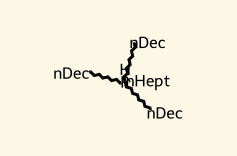 CCCCCCCCCCCCCCCCCC[PH](CCCCCCC)(CCCCCCCCCCCCCCCCCC)CCCCCCCCCCCCCCCCCC